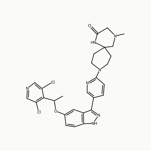 CC(Oc1ccc2[nH]nc(-c3ccc(N4CCC5(CC4)CN(C)CC(=O)N5)nc3)c2c1)c1c(Cl)cncc1Cl